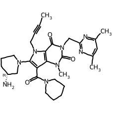 CC#CCn1c(N2CCC[C@@H](N)C2)c(C(=O)N2CCCCC2)c2c1c(=O)n(Cc1nc(C)cc(C)n1)c(=O)n2C